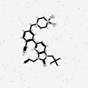 C=CCn1c(=O)n(CC(C)(C)C)c2ccc(-c3cc(CN4CCS(O)(O)CC4)ccc3C#N)nc21